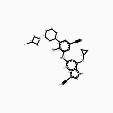 N#Cc1cc(Nc2nc(NC3CC3)c3ncc(C#N)n3n2)c(Cl)c(C2CCC[C@@H](N3CC(F)C3)C2)c1